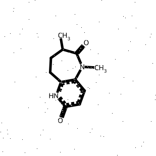 CC1CCc2[nH]c(=O)ccc2N(C)C1=O